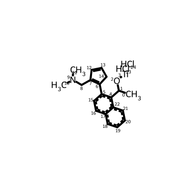 CC([O][Ti])c1c(C2=C(CN(C)C)C=CC2)ccc2ccccc12.Cl.Cl